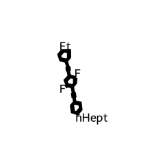 CCCCCCCc1ccc(C#Cc2cc(F)c(C#Cc3ccc(CC)cc3)cc2F)cc1